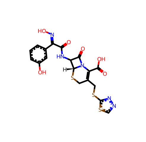 O=C(O)C1=C(CSc2nncs2)CS[C@@H]2C(NC(=O)/C(=N/O)c3cccc(O)c3)C(=O)N12